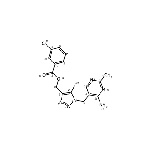 Cc1ncc(Cn2nnc(COC(=O)c3cccc(Cl)c3)c2I)c(N)n1